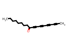 CC#CC#CC#CC#CC(=O)CCCCCCCC